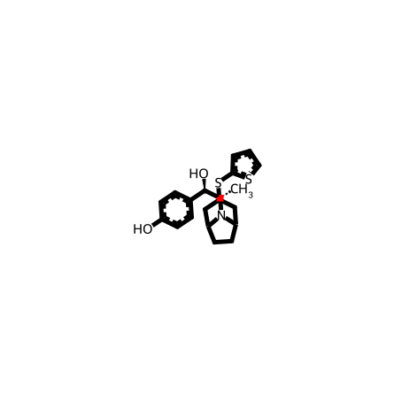 C[C@@H]([C@H](O)c1ccc(O)cc1)N1C2CCC1CC(Sc1cccs1)C2